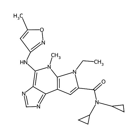 CCn1c(C(=O)N(C2CC2)C2CC2)cc2c3ncnc-3c(Nc3cc(C)on3)n(C)c21